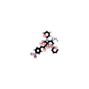 CC(COC1CCCCO1)C1N(C2CCCCO2)C(=O)C1(C)C(O)(O)C(=O)Cc1ccc([N+](=O)[O-])cc1